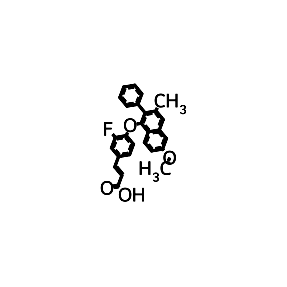 COc1ccc2c(Oc3ccc(C=CC(=O)O)cc3F)c(-c3ccccc3)c(C)cc2c1